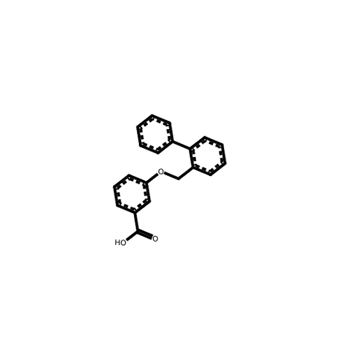 O=C(O)c1cccc(OCc2ccccc2-c2ccccc2)c1